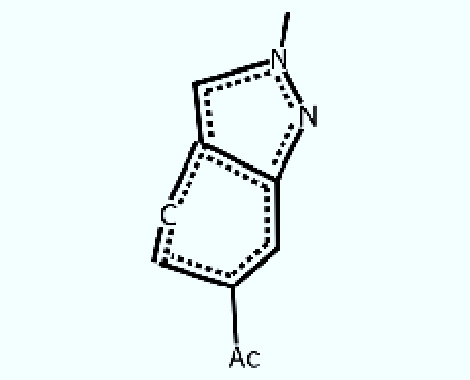 CC(=O)c1ccc2cn(C)nc2c1